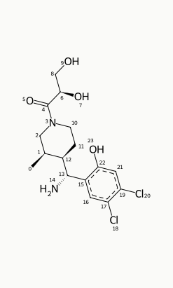 C[C@H]1CN(C(=O)[C@H](O)CO)CC[C@H]1[C@@H](N)c1cc(Cl)c(Cl)cc1O